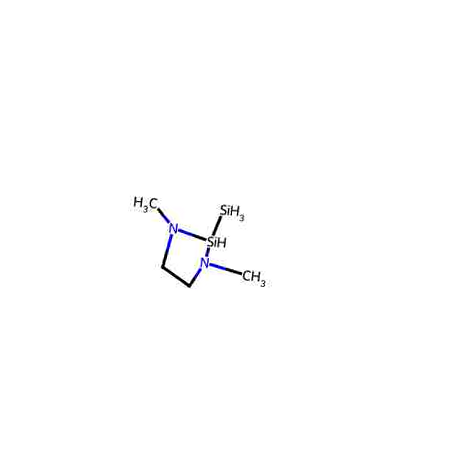 CN1CCN(C)[SiH]1[SiH3]